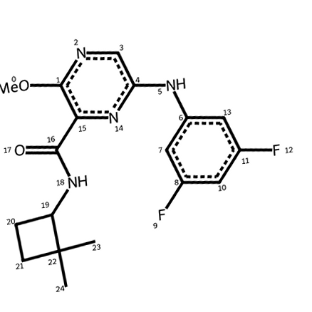 COc1ncc(Nc2cc(F)cc(F)c2)nc1C(=O)NC1CCC1(C)C